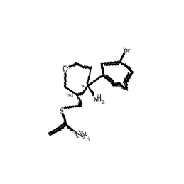 C=C(N)SC[C@H]1COCC[C@]1(N)c1cccc(Br)c1